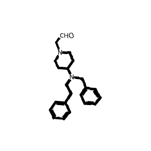 O=CCN1CCC(N(CCc2ccccc2)Cc2ccccc2)CC1